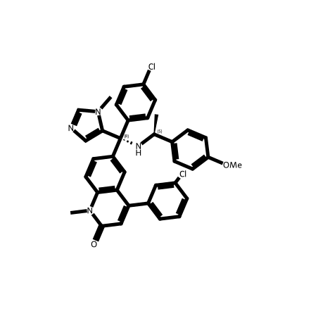 COc1ccc([C@H](C)N[C@](c2ccc(Cl)cc2)(c2ccc3c(c2)c(-c2cccc(Cl)c2)cc(=O)n3C)c2cncn2C)cc1